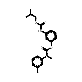 Cc1cccc(N(C)C(=O)Oc2cccc(NC(=O)OCC(C)C)c2)c1